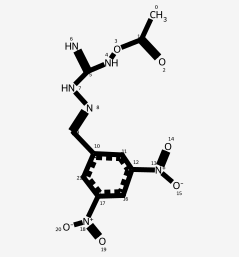 CC(=O)ONC(=N)NN=Cc1cc([N+](=O)[O-])cc([N+](=O)[O-])c1